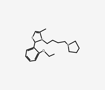 CCOc1ccccc1C1SC=C(C)N1CCCCN1CCCC1